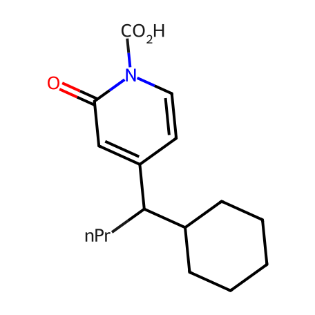 CCCC(c1ccn(C(=O)O)c(=O)c1)C1CCCCC1